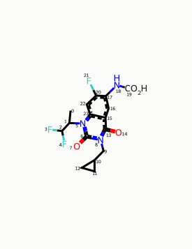 CC(C(F)F)n1c(=O)n(CC2CC2)c(=O)c2cc(NC(=O)O)c(F)cc21